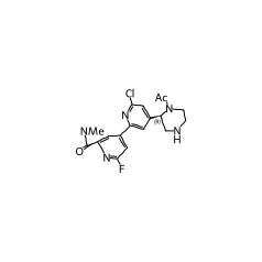 CNC(=O)c1cc(-c2cc([C@@H]3CNCCN3C(C)=O)cc(Cl)n2)cc(F)n1